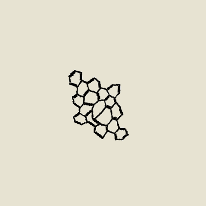 c1ccc2c(c1)c1ccc3c4cccc5c6ccc7c8ccccc8c8ccc9c%10cccc%11c%12ccc2c2c1c3c1c(c45)c3c6c7c8c9c3c(c%11%10)c1c%122